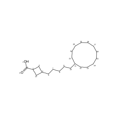 O=C(O)C1CC(CCCCCC2CCCCCCCCCCC2)C1